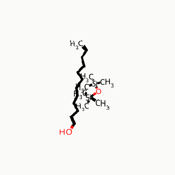 C=CCCCCCCCCCCO.C[Si](C)(C)O[Si](C)(C)C